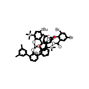 Cc1cc(C)cc(-c2cccc3c2op(Oc2c(-c4cc(C(C)(C)C)cc([Si](C)(C)C)c4OP4OC(=O)c5cc(Br)cc(Br)c5O4)cc(C(C)(C)C)cc2[Si](C)(C)C)oc2c(-c4cc(C)cc(C)c4)cccc23)c1